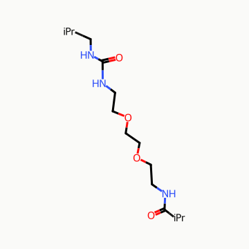 CC(C)CNC(=O)NCCOCCOCCNC(=O)C(C)C